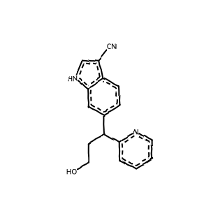 N#Cc1c[nH]c2cc(C(CCO)c3ccccn3)ccc12